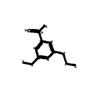 CCCc1cc(CC)cc(C(C)=O)c1